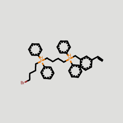 C=Cc1cccc(C[PH](CCCC[PH](CCCCBr)(c2ccccc2)c2ccccc2)(c2ccccc2)c2ccccc2)c1